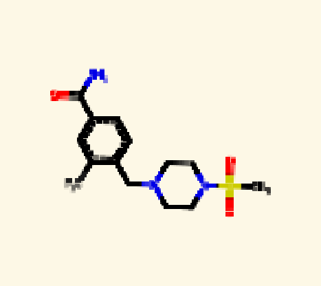 CS(=O)(=O)N1CCN(Cc2ccc(C(N)=O)cc2C(F)(F)F)CC1